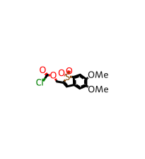 COc1cc2c(cc1OC)S(=O)(=O)C(COC(=O)Cl)=C2